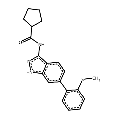 CSc1ccccc1-c1ccc2c(NC(=O)C3CCCC3)n[nH]c2c1